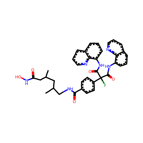 CC(CNC(=O)c1ccc(C(F)(C(=O)Nc2cccc3cccnc23)C(=O)Nc2cccc3cccnc23)cc1)CC(C)CC(=O)NO